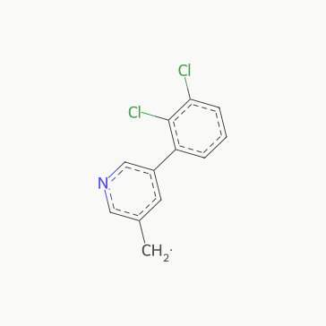 [CH2]c1cncc(-c2cccc(Cl)c2Cl)c1